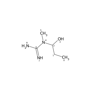 CCC(O)N(C)C(=N)N